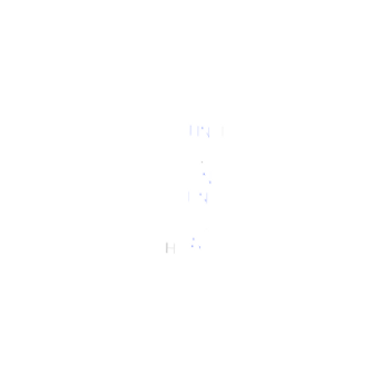 CNC1CCC2(C1)CN(CNC1CCC3(CCN(C)C3)C1)C2